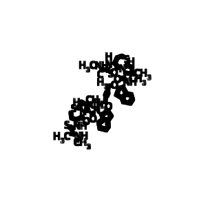 CN[C@@H](C)C(=S)N[C@H]1CCS[C@H]2CC(C)(C)[C@@H](C(=O)N[C@H]3c4ccccc4C[C@H]3OCC#CCO[C@@H]3Cc4ccccc4[C@@H]3NC(=O)[C@H]3N4C(=O)[C@@H](NC(=S)[C@H](C)NC)CCS[C@H]4CC3(C)C)N2C1=O